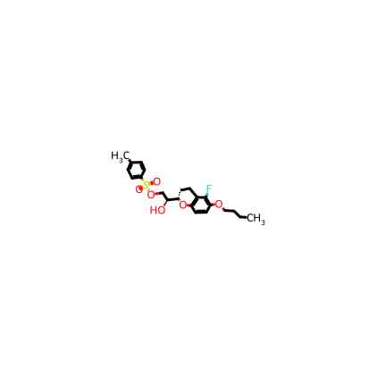 CCCCOc1ccc2c(c1F)CC[C@@H]([C@@H](O)COS(=O)(=O)c1ccc(C)cc1)O2